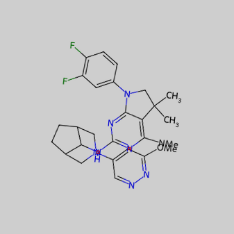 CNc1nc(NC2C3CCC2CN(c2cnnc(OC)c2)C3)nc2c1C(C)(C)CN2c1ccc(F)c(F)c1